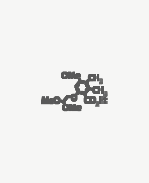 CCOC(=O)c1c(OCC(OC)OC)cc(OC)c(C)c1C